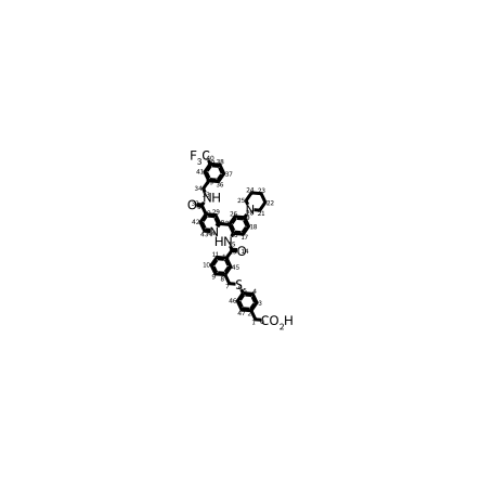 O=C(O)Cc1ccc(SCc2cccc(C(=O)Nc3ccc(N4CCCCC4)cc3-c3cc(C(=O)NCc4cccc(C(F)(F)F)c4)ccn3)c2)cc1